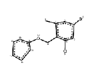 Cc1cc(Br)cc(Cl)c1COc1ccccc1